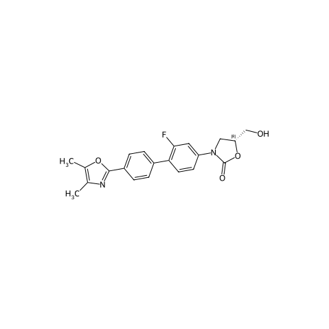 Cc1nc(-c2ccc(-c3ccc(N4C[C@H](CO)OC4=O)cc3F)cc2)oc1C